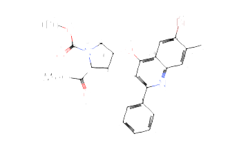 COC(=O)[C@@H]1C[C@@H](Oc2cc(-c3ccccc3)nc3cc(C)c(Br)cc23)CN1C(=O)OC(C)(C)C